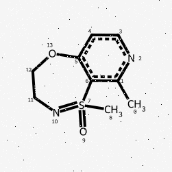 Cc1nccc2c1S(C)(=O)=NCCO2